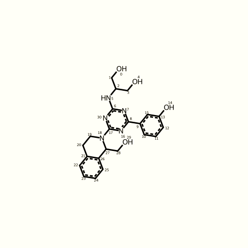 OCC(CO)Nc1nc(-c2cccc(O)c2)nc(N2CCc3ccccc3C2CO)n1